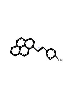 N#Cc1ccc(/C=C/c2ccc3ccc4cccc5ccc2c3c45)cc1